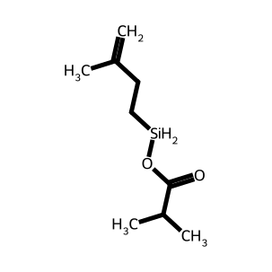 C=C(C)CC[SiH2]OC(=O)C(C)C